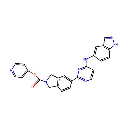 O=C(Oc1ccncc1)N1Cc2ccc(-c3nccc(Nc4ccc5[nH]ncc5c4)n3)cc2C1